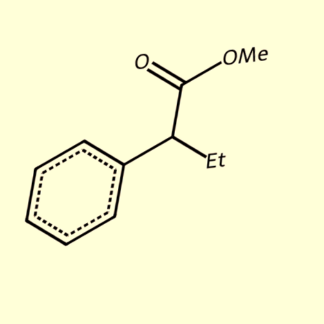 [CH2]CC(C(=O)OC)c1ccccc1